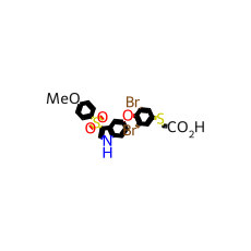 COc1ccc(S(=O)(=O)c2c[nH]c3ccc(Oc4c(Br)cc(SCC(=O)O)cc4Br)cc23)cc1